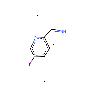 N=Cc1ccc(I)cn1